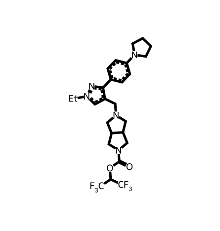 CCn1cc(CN2CC3CN(C(=O)OC(C(F)(F)F)C(F)(F)F)CC3C2)c(-c2ccc(N3CCCC3)cc2)n1